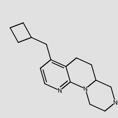 c1cc(CC2CCC2)c2c(n1)N1CCNCC1CC2